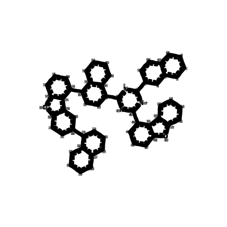 c1ccc2cc(-c3nc(-c4ccc(-c5cccc6oc7ccc(-c8cccc9ccccc89)cc7c56)c5ccccc45)nc(-c4cccc5oc6ccccc6c45)n3)ccc2c1